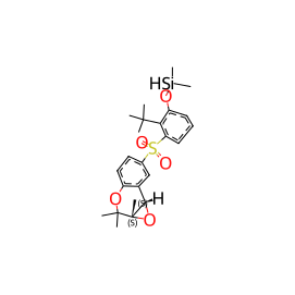 C[SiH](C)Oc1cccc(S(=O)(=O)c2ccc3c(c2)[C@@H]2O[C@]2(C)C(C)(C)O3)c1C(C)(C)C